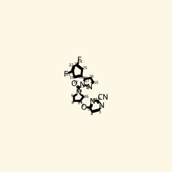 N#Cc1nccc(O[C@@H]2CCN(C(=O)N3N=CC[C@H]3c3cc(F)cc(F)c3)C2)n1